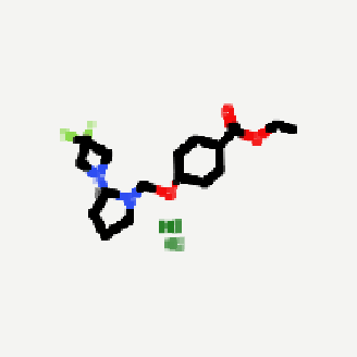 CCOC(=O)[C@H]1CC[C@H](OCN2CCC[C@H]2N2CC(F)(F)C2)CC1.Cl.Cl